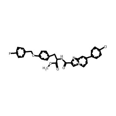 COC(=O)C(Cc1ccc(OCc2ccc(F)cc2)cc1)NC(=O)c1cn2ccc(-c3ccc(Cl)cc3)cc2n1